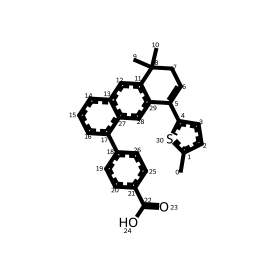 Cc1ccc(C2=CCC(C)(C)c3cc4cccc(-c5ccc(C(=O)O)cc5)c4cc32)s1